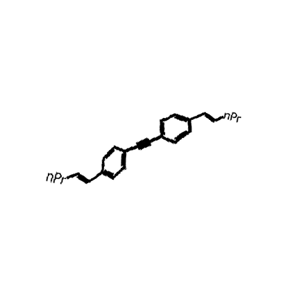 CCCC=Cc1ccc(C#Cc2ccc(C=CCCC)cc2)cc1